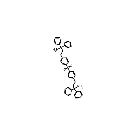 NC(CCc1ccc(S(=O)(=O)c2ccc(CCC(N)(c3ccccc3)c3ccccc3)cc2)cc1)(c1ccccc1)c1ccccc1